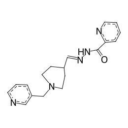 O=C(NN=CC1CCN(Cc2cccnc2)CC1)c1ccccn1